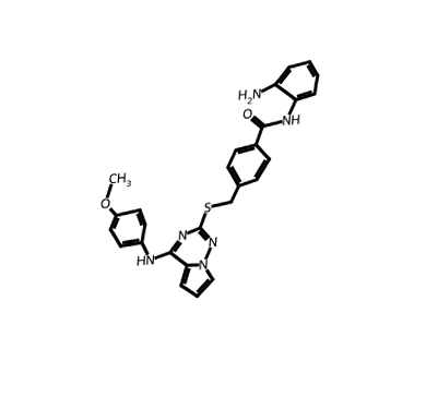 COc1ccc(Nc2nc(SCc3ccc(C(=O)Nc4ccccc4N)cc3)nn3cccc23)cc1